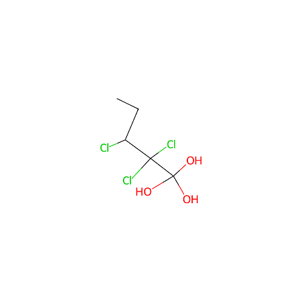 CCC(Cl)C(Cl)(Cl)C(O)(O)O